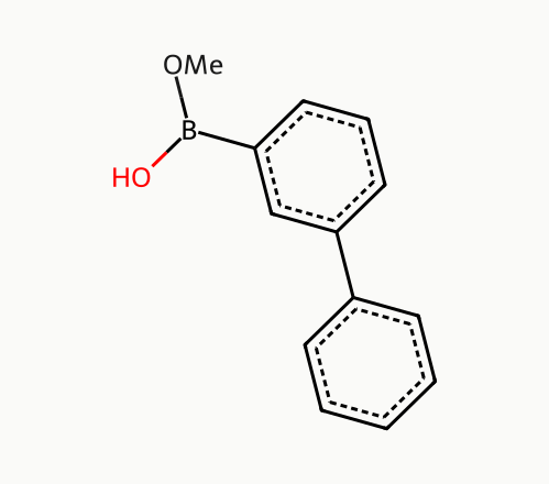 COB(O)c1cccc(-c2ccccc2)c1